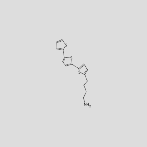 NCCCCc1ccc(-c2ccc(-c3cccs3)s2)s1